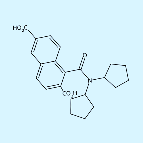 O=C(O)c1ccc2c(C(=O)N(C3CCCC3)C3CCCC3)c(C(=O)O)ccc2c1